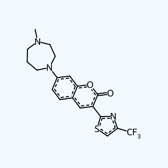 CN1CCCN(c2ccc3cc(-c4nc(C(F)(F)F)cs4)c(=O)oc3c2)CC1